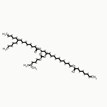 CCCCCCCC(=O)OCCCCCCCCCCC(CCOC(=O)CCCCCCCC(CCCCC)CCCCC)OC(=O)OCCCN(C)C